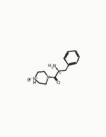 N[C@@H](Cc1ccccc1)C(=O)N1CC[NH+]([O-])CC1